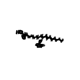 CCCCCCCCCCCCCCCCCC(=O)O.O=C([O-])[O-].[Ca+2]